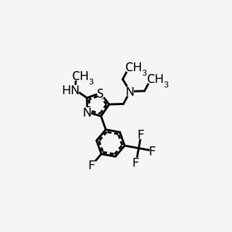 CCN(CC)Cc1sc(NC)nc1-c1cc(F)cc(C(F)(F)F)c1